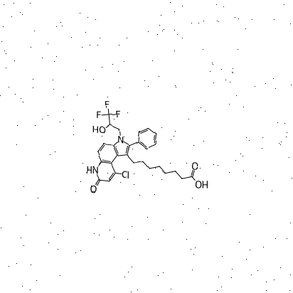 O=C(O)CCCCCCCc1c(-c2ccccc2)n(CC(O)C(F)(F)F)c2ccc3[nH]c(=O)cc(Cl)c3c12